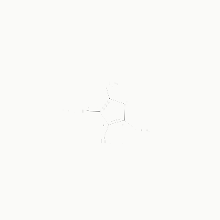 CCCCCCCCC1=C(CCCCCCCC)C(CCCCCCCC)=C(CCCCCCCC)C1